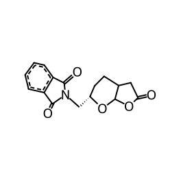 O=C1CC2CC[C@@H](CN3C(=O)c4ccccc4C3=O)OC2O1